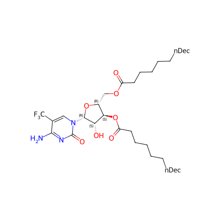 CCCCCCCCCCCCCCCC(=O)OC[C@H]1O[C@@H](n2cc(C(F)(F)F)c(N)nc2=O)[C@@H](O)[C@@H]1OC(=O)CCCCCCCCCCCCCCC